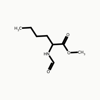 CCCCC(NC=O)C(=O)OC